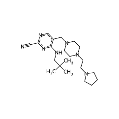 CC(C)(C)CNc1nc(C#N)ncc1CN1CCN(CCN2CCCC2)CC1